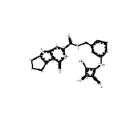 Nc1c(Nc2cccc(CNC(=O)c3nc4sc5c(c4c(=O)[nH]3)CCC5)c2)c(=O)c1=O